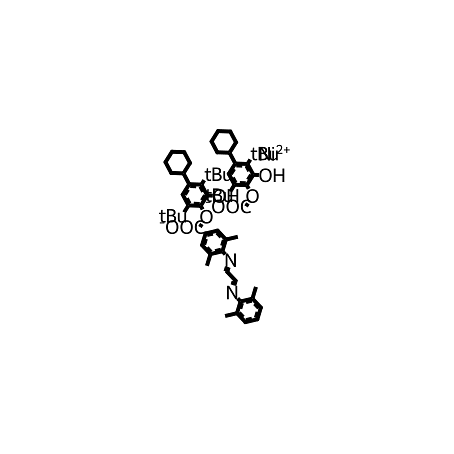 CC(C)(C)c1cc(C2CCCCC2)c(C(C)(C)C)c(O)c1OC(=O)[O-].CC(C)(C)c1cc(C2CCCCC2)c(C(C)(C)C)c(O)c1OC(=O)[O-].Cc1cccc(C)c1N=CC=Nc1c(C)cccc1C.[Ni+2]